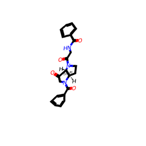 O=C(NCC(=O)N1CC[C@@H]2[C@H]1C(=O)CN2C(=O)c1ccccc1)c1ccccc1